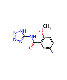 COc1ccc(I)cc1C(=O)Nc1nnn[nH]1